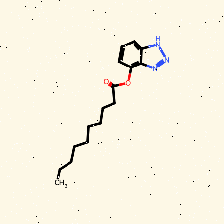 CCCCCCCCCC(=O)Oc1cccc2[nH]nnc12